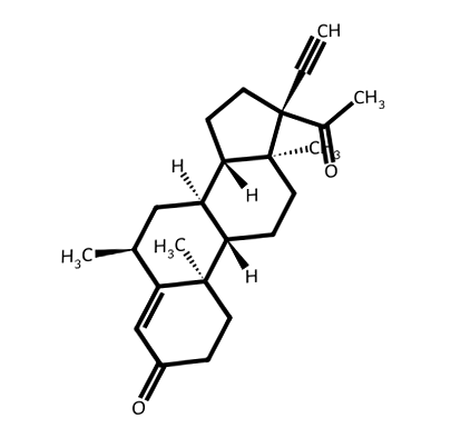 C#C[C@]1(C(C)=O)CC[C@H]2[C@@H]3C[C@H](C)C4=CC(=O)CC[C@]4(C)[C@H]3CC[C@@]21C